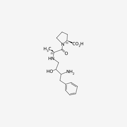 C[C@H](NCC(O)C(N)Cc1ccccc1)C(=O)N1CCC[C@H]1C(=O)O